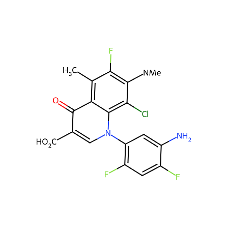 CNc1c(F)c(C)c2c(=O)c(C(=O)O)cn(-c3cc(N)c(F)cc3F)c2c1Cl